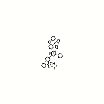 CC1(C)c2ccccc2-c2ccc(-c3cc(-c4ccccc4)nc(-c4ccc5c(c4)C4(c6ccccc6O5)c5ccccc5-c5ccccc54)n3)cc21